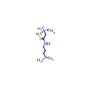 CN(C)CCCNC(=O)C[N+](C)(C)C